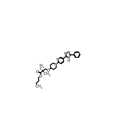 CCCCOC(=O)C(C)(C)COC1CCN(c2ccc(-c3nnc(-c4ccccc4)[nH]3)cn2)CC1